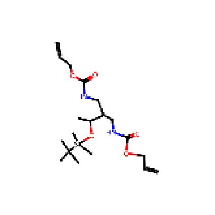 C=CCOC(=O)NCC(CNC(=O)OCC=C)C(C)O[Si](C)(C)C(C)(C)C